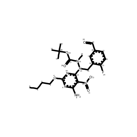 CCCCOc1nc(N)c([N+](=O)[O-])c(N(Cc2cc(C=O)ccc2F)N(C)C(=O)OC(C)(C)C)n1